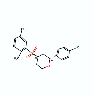 Cc1ccc(C(F)(F)F)cc1S(=O)(=O)[C@@H]1CCO[C@@H](c2ccc(Cl)cc2)C1